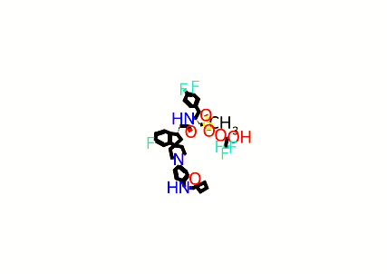 CS(=O)(=O)C[C@@H](Cc1ccc(F)c(F)c1)NC(=O)C[C@@H]1CC2(CCN(c3ccc4c(c3)OC3(CCC3)CN4)CC2)c2cc(F)ccc21.O=C(O)C(F)(F)F